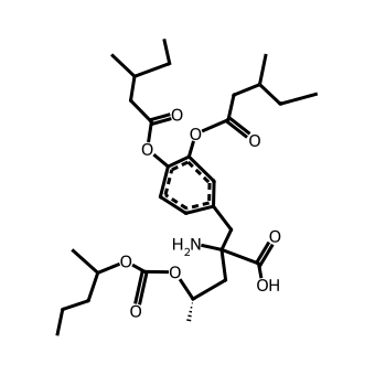 CCCC(C)OC(=O)O[C@@H](C)CC(N)(Cc1ccc(OC(=O)CC(C)CC)c(OC(=O)CC(C)CC)c1)C(=O)O